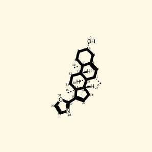 C[C@H]1C=C2C[C@@H](O)CC[C@]2(C)[C@H]2CC[C@]3(C)C(c4ncco4)=CC[C@H]3[C@H]12